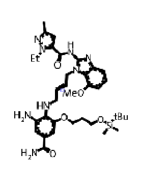 CCn1nc(C)cc1C(=O)Nc1nc2cccc(OC)c2n1C/C=C/CNc1c(N)cc(C(N)=O)cc1OCCCO[Si](C)(C)C(C)(C)C